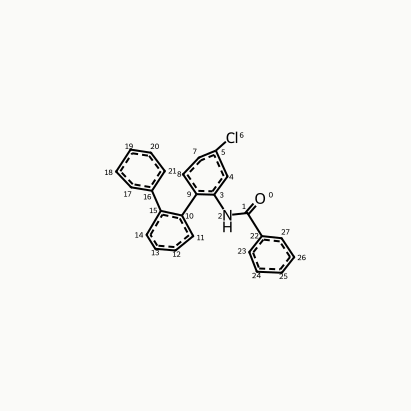 O=C(Nc1cc(Cl)ccc1-c1ccccc1-c1ccccc1)c1ccccc1